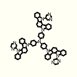 c1ccc2c(c1)c1c(ccc3c4ccccc4n(-c4cncnc4)c31)n2-c1ccc(N(c2ccc(-n3c4ccccc4c4c3ccc3c5ccccc5n(-c5cnccn5)c34)cc2)c2ccc(-n3c4ccccc4c4c3ccc3c5ccccc5n(-c5cnccn5)c34)cc2)cc1